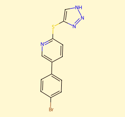 Brc1ccc(-c2ccc(Sc3c[nH]nn3)nc2)cc1